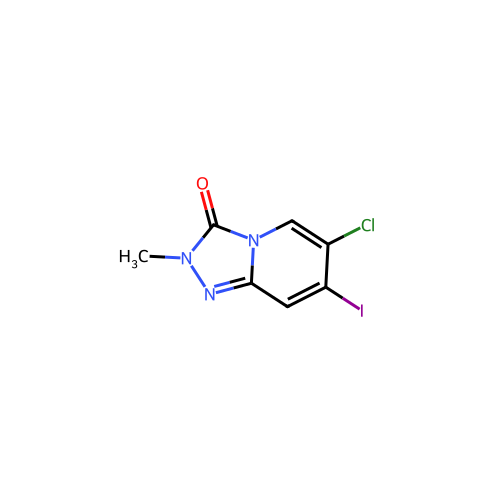 Cn1nc2cc(I)c(Cl)cn2c1=O